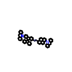 C1=CCC(C2(c3ccccc3)c3cc(/C=C/c4ccc5ccc6c(N7c8ccccc8Cc8ccccc87)ccc7ccc4c5c76)ccc3-c3ccc(N4C5=C(CCC=C5)Cc5ccccc54)cc32)C=C1